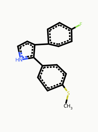 CSc1ccc(-c2[nH]ccc2-c2ccc(F)cc2)cc1